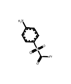 CCCC(=O)S(=O)(=O)c1ccc(N)cc1